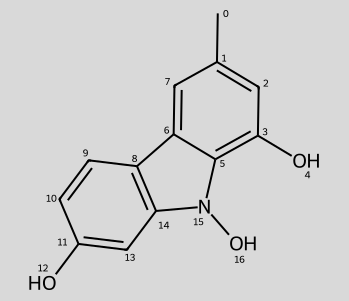 Cc1cc(O)c2c(c1)c1ccc(O)cc1n2O